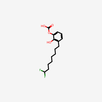 O=C(O)Oc1cccc(CCCCCCCC(F)F)c1O